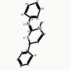 CN1C=CC(c2ccccc2)SC1=Nc1ccccc1